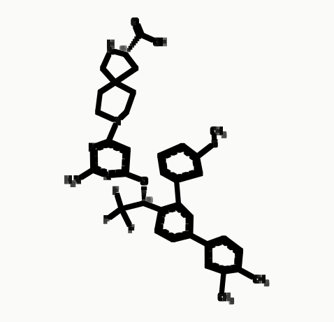 CSc1cccc(-c2cc(-c3ccc(C)c(C)c3)ccc2[C@@H](Oc2cc(N3CCC4(CC3)CN[C@H](C(=O)O)C4)nc(N)n2)C(F)(F)F)c1